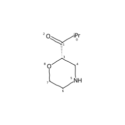 CC(C)C(=O)[C@@H]1CNCCO1